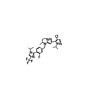 CC1CCn2nc(-c3c(Cl)cnn3C(C)C)cc2N1Cc1ccc(-c2nc(C(F)(F)F)cn2C(C)C)c(F)c1